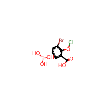 O=C(O)c1cccc(Br)c1OCl.OB(O)O